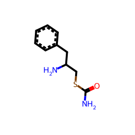 NC(=O)SCC(N)Cc1ccccc1